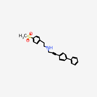 CS(=O)(=O)c1ccc(CCNCC#Cc2ccc(-c3ccccc3)cc2)cc1